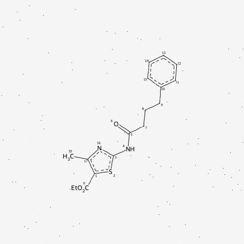 CCOC(=O)c1sc(NC(=O)CCCc2ccccc2)nc1C